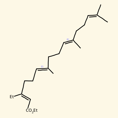 CCOC(=O)C=C(CC)CC/C=C(\C)CC/C=C(\C)CCC=C(C)C